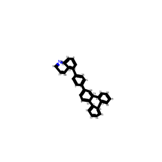 c1cc(-c2ccc(-c3ccc4c5ccccc5c5ccccc5c4c3)cc2)c2cccnc2c1